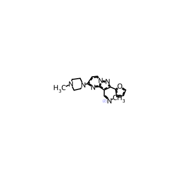 C/N=C\c1c(-c2ccco2)nn2ccc(N3CCN(C)CC3)nc12